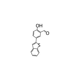 O=Cc1cc(-c2cc3ccccc3s2)ccc1O